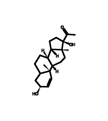 CC(=O)[C@@]1(O)CC[C@H]2[C@@H]3CCC4C[C@@H](O)C=C[C@]4(C)[C@H]3CC[C@@]21C